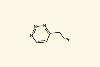 CC(C)Cc1ccnnn1